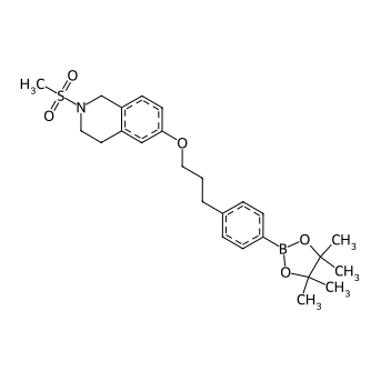 CC1(C)OB(c2ccc(CCCOc3ccc4c(c3)CCN(S(C)(=O)=O)C4)cc2)OC1(C)C